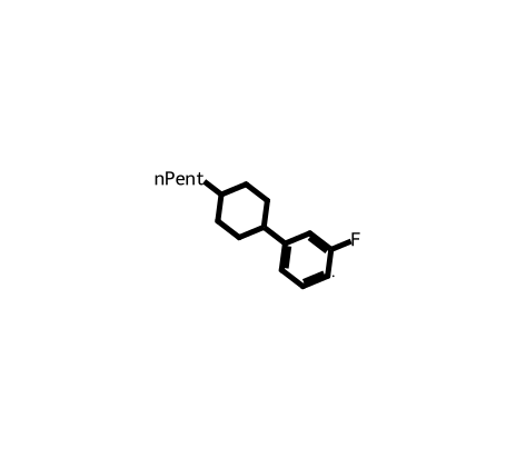 CCCCCC1CCC(c2cc[c]c(F)c2)CC1